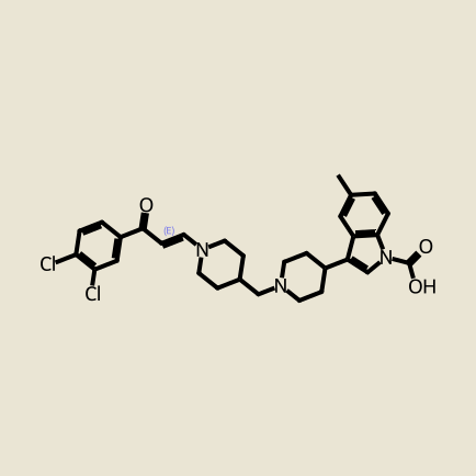 Cc1ccc2c(c1)c(C1CCN(CC3CCN(/C=C/C(=O)c4ccc(Cl)c(Cl)c4)CC3)CC1)cn2C(=O)O